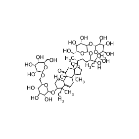 C[C@H](CC[C@@H](O[C@@H]1O[C@H](CO)[C@@H](O)[C@H](O)[C@H]1O[C@H]1O[C@@H](CO)[C@H](O)[C@@H](O)[C@@H]1O)C(C)(C)O)C1CC[C@@]2(C)C3CC=C4C(CC[C@H](O[C@@H]5O[C@H](CO[C@@H]6O[C@H](CO)[C@@H](O)[C@H](O)[C@H]6O)[C@@H](O)[C@H](O)[C@H]5O)C4(C)C)[C@]3(C)C(=O)C[C@]12C